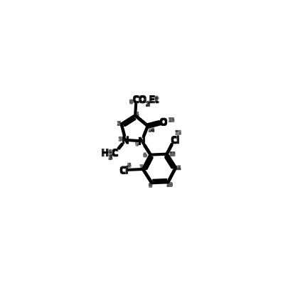 CCOC(=O)c1cn(C)n(-c2c(Cl)cccc2Cl)c1=O